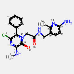 CNc1nc(Cl)c(-c2ccccc2)n(CC(=O)NCc2ccc(N)nc2C)c1=O